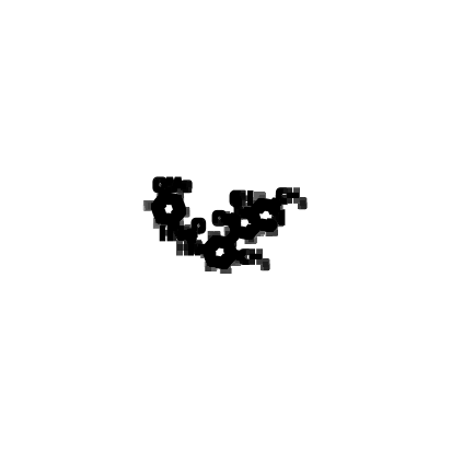 COc1ccc(NC(=O)Nc2ccc(C)c(-c3cc4cnc(C)cc4n(C)c3=O)c2)cc1